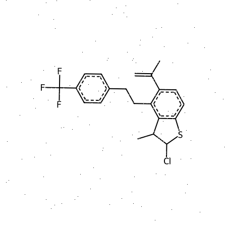 C=C(C)c1ccc2c(c1CCc1ccc(C(F)(F)F)cc1)C(C)C(Cl)S2